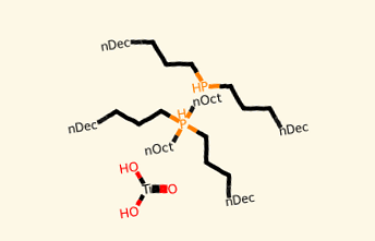 CCCCCCCCCCCCCPCCCCCCCCCCCCC.CCCCCCCCCCCCC[PH](CCCCCCCC)(CCCCCCCC)CCCCCCCCCCCCC.[O]=[Ti]([OH])[OH]